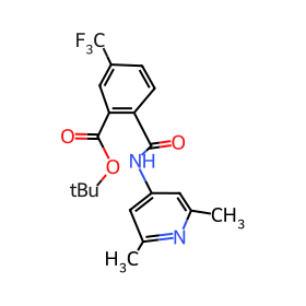 Cc1cc(NC(=O)c2ccc(C(F)(F)F)cc2C(=O)OC(C)(C)C)cc(C)n1